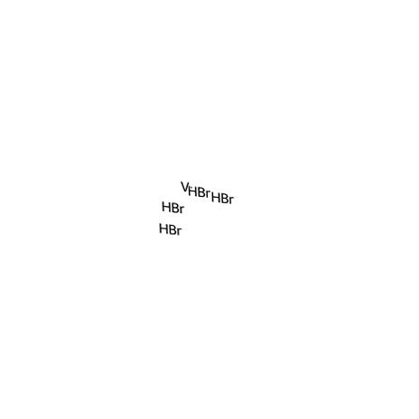 Br.Br.Br.Br.[V]